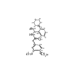 CCOc1cc(CC(=O)N[C@H](c2ccccc2N2CCCCC2)C(C)CC)ccc1C(=O)O